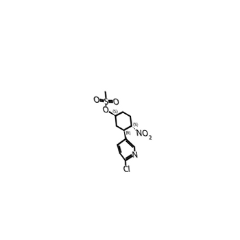 CS(=O)(=O)O[C@H]1CC[C@H]([N+](=O)[O-])[C@@H](c2ccc(Cl)nc2)C1